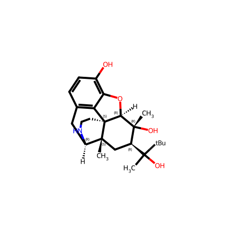 CC(C)(C)C(C)(O)[C@H]1C[C@]2(C)[C@H]3Cc4ccc(O)c5c4[C@@]2(CCN3)[C@@H](O5)[C@]1(C)O